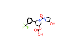 O=C(O)OC1CC(c2cccc(C(F)(F)F)c2)CN(C(=O)N2CCC(O)C2)C1